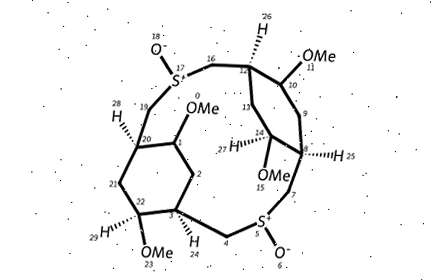 COC1C[C@H]2C[S+]([O-])C[C@@H]3CC(OC)[C@@H](C[C@@H]3OC)C[S+]([O-])C[C@@H]1C[C@@H]2OC